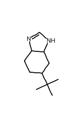 CC(C)(C)C1CCC2N=CNC2C1